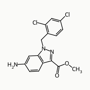 COC(=O)c1nn(Cc2ccc(Cl)cc2Cl)c2cc(N)ccc12